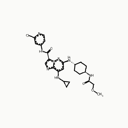 COCC(=O)N[C@H]1CC[C@H](Nc2cc(NC3CC3)c3ncc(C(=O)Nc4ccnc(Cl)c4)n3n2)CC1